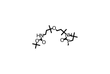 CP(CC(C)(C)C)C(=O)NC(C)(C)CCOC(C)(C)CCNC(=O)OC(C)(C)C